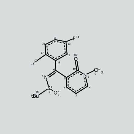 Cn1cccc(/C(=N\[S+]([O-])C(C)(C)C)c2cc(F)ccc2F)c1=O